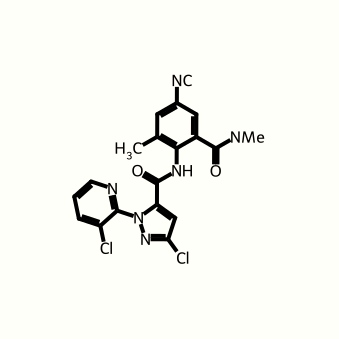 [C-]#[N+]c1cc(C)c(NC(=O)c2cc(Cl)nn2-c2ncccc2Cl)c(C(=O)NC)c1